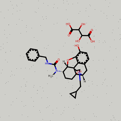 CN(C(=O)NCc1ccccc1)[C@H]1CC[C@@]2(O)[C@H]3Cc4ccc(O)c5c4[C@@]2(CCN3CC2CC2)[C@H]1O5.O=C(O)C(O)C(O)C(=O)O